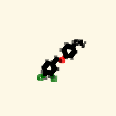 [CH2]c1ccc(OCc2ccc(Cl)c(Cl)c2)cc1